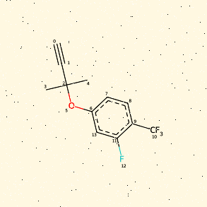 C#CC(C)(C)Oc1ccc(C(F)(F)F)c(F)c1